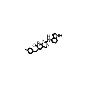 Cc1ccc(Cc2cc3cnc(Nc4cccc5[nH]ccc45)nc3n(C)c2=O)cc1